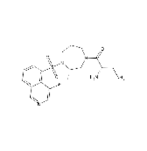 C[C@H]1CN(C(=O)[C@@H](N)CN)CCCN1S(=O)(=O)c1cccc2cncc(F)c12